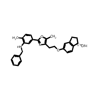 CC(=O)O[C@H]1CCc2cc(OCCc3nc(-c4ccc(C)c(NCc5ccccc5)c4)oc3C)ccc21